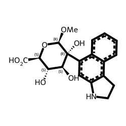 CO[C@@H]1O[C@H](C(=O)O)[C@@H](O)[C@H](O)[C@]1(O)c1cc2c(c3ccccc13)CCN2